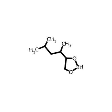 CC(C)CC(C)C1COBO1